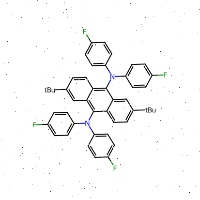 CC(C)(C)c1ccc2c(N(c3ccc(F)cc3)c3ccc(F)cc3)c3cc(C(C)(C)C)ccc3c(N(c3ccc(F)cc3)c3ccc(F)cc3)c2c1